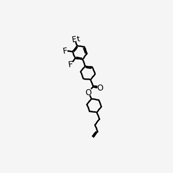 C=CCCC1CCC(OC(=O)C2CC=C(c3ccc(CC)c(F)c3F)CC2)CC1